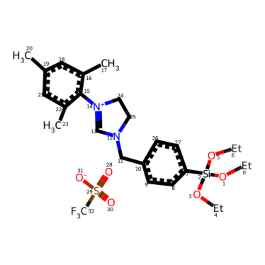 CCO[Si](OCC)(OCC)c1ccc(CN2C=[N+](c3c(C)cc(C)cc3C)CC2)cc1.O=S(=O)([O-])C(F)(F)F